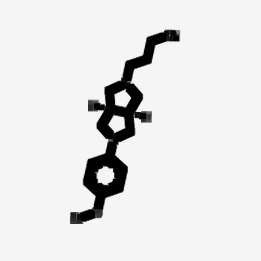 CCOc1ccc(N2C[C@H]3CN(CCCC#N)C[C@H]3C2)cc1